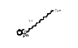 CCCCCCCCCCCCCCCCCCCCCCCCOS(=O)(=O)c1ccccc1C.[Na]